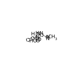 Cn1cc(-c2cnc(N)c(C(=O)N[C@@H](COCc3ccccc3)C(=O)O)c2)cn1